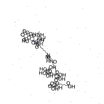 CCCC(CC(C)(N)O)OC1C[C@](O)(/C(CO)=N/NC(=O)CCCCCCCn2cc(CNC(=O)CCCCCO[C@@H]3[C@@H](CO[C@H]4O[C@H](CO)[C@@H](O)[C@H](O)[C@H]4O)C[C@H](OC[C@H]4O[C@H](OC)[C@H](O)[C@@H](O)[C@@H]4OCCCCCC(=O)O)[C@H](O)[C@H]3O)nn2)Cc2c(O)c3c(c(O)c21)C(=O)c1c(OC)cccc1C3=O